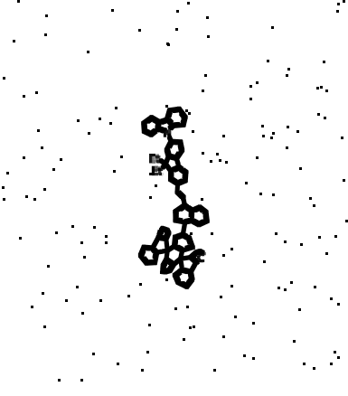 CCC1(CC)c2cc(/C=C/c3ccc(-c4ccc5c(c4)C4(c6ccccc6-c6ccccc64)c4ccccc4C54c5ccccc5-c5ccccc54)c4ccccc34)ccc2-c2ccc(-n3c4ccccc4c4ccccc43)cc21